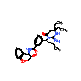 CCC[C@H](c1cccc(C(=O)NC2c3ccccc3OCC2O)c1)N1C(=N)NC(CC)(CC)CC1=O